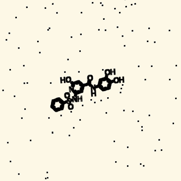 O=C(Nc1ccc(O)c(O)c1)c1cc(O)nc(NS(=O)(=O)c2ccccc2)c1